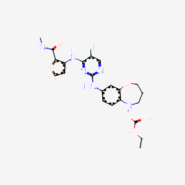 CCOC(=O)ON1CCCOc2cc(Nc3ncc(Cl)c(Nc4ccsc4C(=O)NC)n3)ccc21